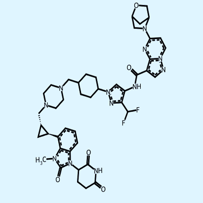 Cn1c(=O)n(C2CCC(=O)NC2=O)c2cccc([C@H]3C[C@@H]3CN3CCN(CC4CCC(n5cc(NC(=O)c6cnn7ccc(N8CC9CC8CO9)nc67)c(C(F)F)n5)CC4)CC3)c21